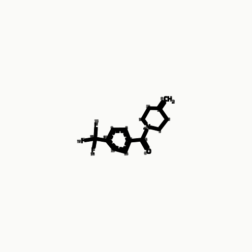 C=C1CCN(C(=O)c2ccc(C(F)(F)F)cc2)CC1